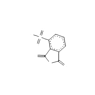 O=C1OC(=O)c2c1cccc2S(=O)(=O)O